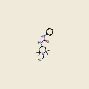 CC1(C)CC(NC(=O)Nc2ccccc2)CC(C)(C)N1CC#N